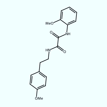 COc1ccc(CCNC(=O)C(=O)Nc2ccccc2OC)cc1